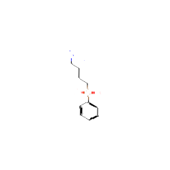 NCCCCS(=O)(=O)c1ccccc1